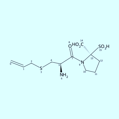 C=CCSC[C@H](N)C(=O)N1CCC[C@]1(C(=O)O)S(=O)(=O)O